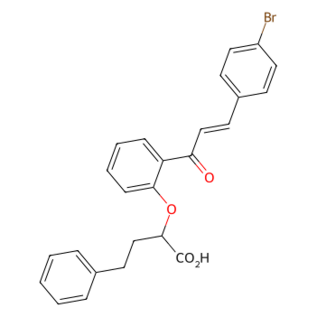 O=C(C=Cc1ccc(Br)cc1)c1ccccc1OC(CCc1ccccc1)C(=O)O